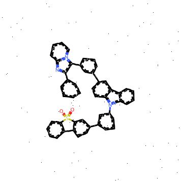 O=S1(=O)c2ccccc2-c2ccc(-c3cccc(-n4c5ccccc5c5cc(-c6cccc(-c7c(-c8ccccc8)nc8ccccn78)c6)ccc54)c3)cc21